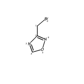 BrCc1ncon1